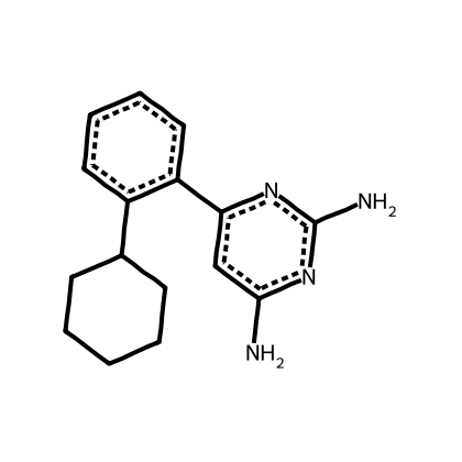 Nc1cc(-c2ccccc2C2CCCCC2)nc(N)n1